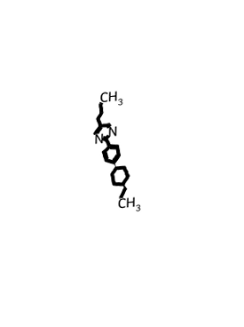 CCCCc1cnc(-c2ccc([C@H]3CC[C@H](CCC)CC3)cc2)nc1